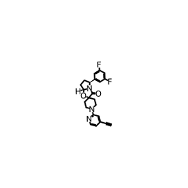 C#Cc1ccnc(N2CCC3(CC2)O[C@@H]2CC[C@@H](c4cc(F)cc(F)c4)N2C3=O)c1